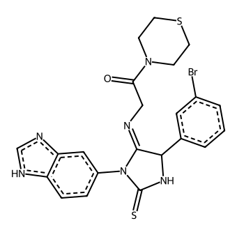 O=C(C/N=C1\C(c2cccc(Br)c2)NC(=S)N1c1ccc2[nH]cnc2c1)N1CCSCC1